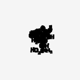 CC(NC(=O)C(NC(=O)CN1C(=O)C=CC1=O)C(C)C)C(=O)NC(CCN(C(=O)CO)C(c1cc(-c2cc(F)ccc2F)cn1Cc1ccccc1)C(C)(C)C)C(=O)NCCNC(=O)CCC(N)C(=O)O.O=C(O)C(F)(F)F